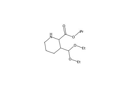 CCOC(OCC)C1CCCNC1C(=O)OC(C)C